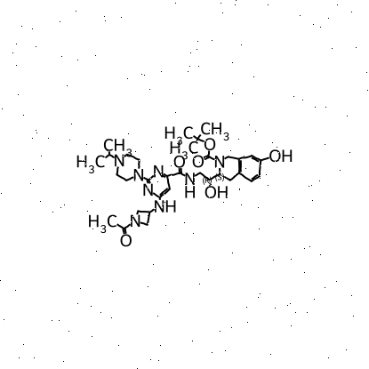 CC(=O)N1CC(Nc2cc(C(=O)NC[C@@H](O)[C@@H]3Cc4ccc(O)cc4CN3C(=O)OC(C)(C)C)nc(N3CCN(C(C)C)CC3)n2)C1